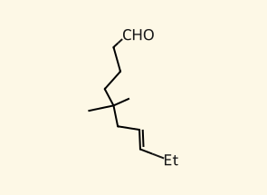 CCC=CCC(C)(C)CCCC=O